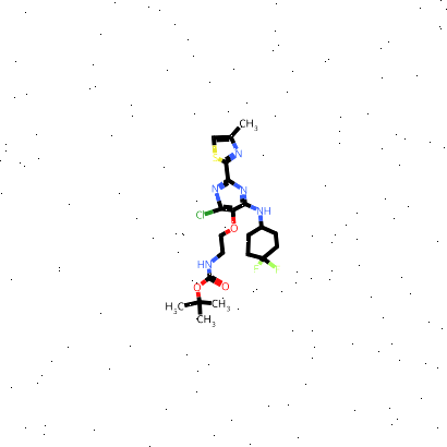 Cc1csc(-c2nc(Cl)c(OCCNC(=O)OC(C)(C)C)c(NC3CCC(F)(F)CC3)n2)n1